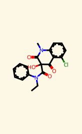 CCN(C(=O)C1(O)C(=O)c2c(Cl)cccc2N(C)C1=O)c1ccccc1